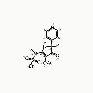 CCS(=O)(=O)N(C)C1=C(OC(C)=O)C(=O)C(C)(c2ccncc2)O1